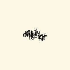 CCN(C(=O)C(C)(C)CS(C)(=O)=O)c1sc(-c2cncc(F)c2)nc1C